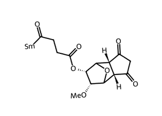 CO[C@H]1C2OC([C@H]1OC(=O)CC[C](=O)[Sm])[C@@H]1C(=O)CC(=O)[C@H]21